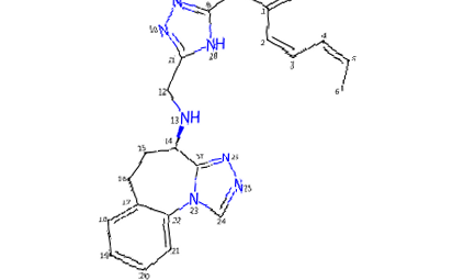 C=C(/C=C\C=C/C)Cc1nnc(CN[C@@H]2CCc3ccccc3-n3cnnc32)[nH]1